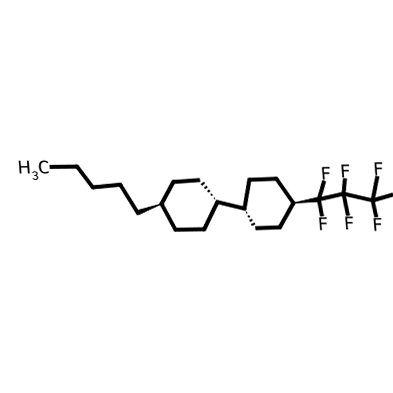 CCCCC[C@H]1CC[C@H]([C@H]2CC[C@H](C(F)(F)C(F)(F)C(F)(F)F)CC2)CC1